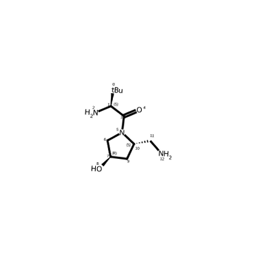 CC(C)(C)[C@H](N)C(=O)N1C[C@H](O)C[C@H]1CN